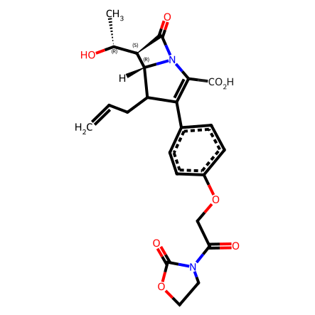 C=CCC1C(c2ccc(OCC(=O)N3CCOC3=O)cc2)=C(C(=O)O)N2C(=O)[C@H]([C@@H](C)O)[C@@H]12